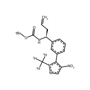 [2H]C([2H])([2H])n1ncc([N+](=O)[O-])c1-c1cccc([C@H](CC=C)NC(=O)OC(C)(C)C)c1